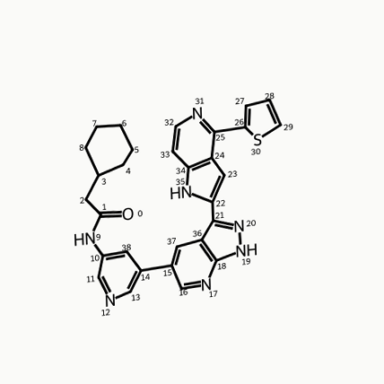 O=C(CC1CCCCC1)Nc1cncc(-c2cnc3[nH]nc(-c4cc5c(-c6cccs6)nccc5[nH]4)c3c2)c1